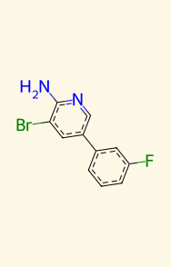 Nc1ncc(-c2cccc(F)c2)cc1Br